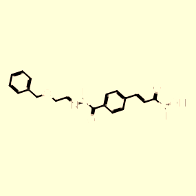 O=C(/C=C/c1ccc(C(=O)N/N=C/COCc2ccccc2)cc1)NO